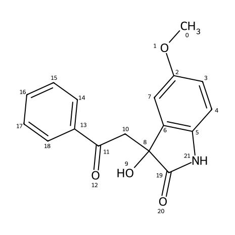 COc1ccc2c(c1)C(O)(CC(=O)c1ccccc1)C(=O)N2